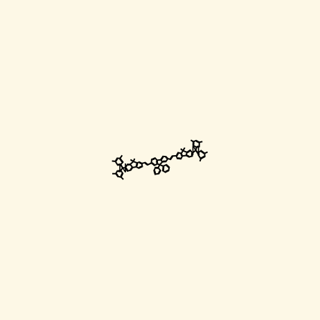 Cc1cc(C)cc(N(c2cc(C)cc(C)c2)c2ccc3c(c2)C(C)(C)c2cc(/C=C/c4ccc5c(c4)C(c4ccccc4)(c4ccccc4)c4cc(/C=C/c6ccc7c(c6)C(C)(C)c6cc(N(c8cc(C)cc(C)c8)c8cc(C)cc(C)c8)ccc6-7)ccc4-5)ccc2-3)c1